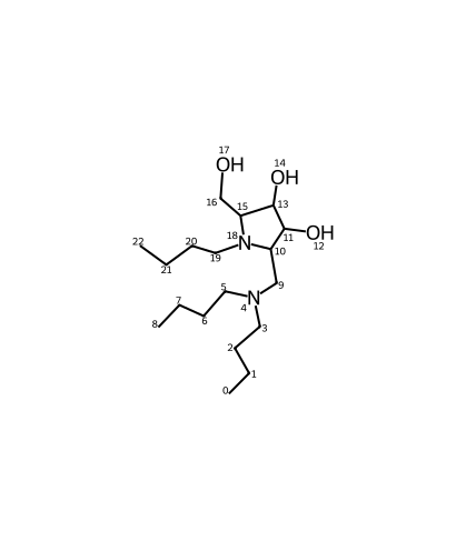 CCCCN(CCCC)CC1C(O)C(O)C(CO)N1CCCC